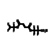 O=C(CCC(=O)OC(F)(F)C(F)(F)S(=O)(=O)O)OC(F)(F)C(F)F